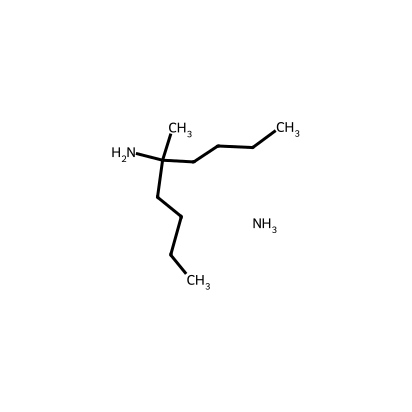 CCCCC(C)(N)CCCC.N